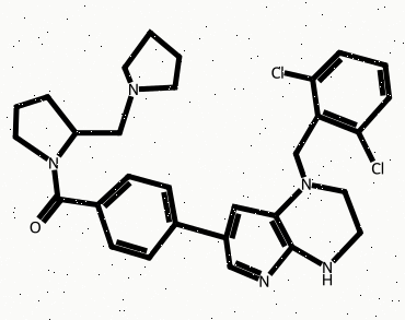 O=C(c1ccc(-c2cnc3c(c2)N(Cc2c(Cl)cccc2Cl)CCN3)cc1)N1CCCC1CN1CCCC1